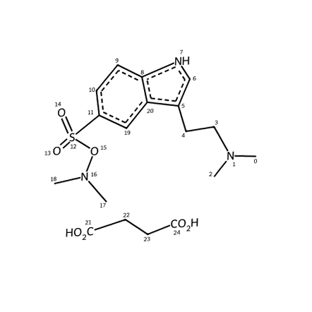 CN(C)CCc1c[nH]c2ccc(S(=O)(=O)ON(C)C)cc12.O=C(O)CCC(=O)O